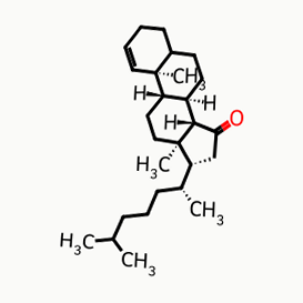 CC(C)CCC[C@@H](C)[C@H]1CC(=O)[C@H]2[C@@H]3CCC4CCC=C[C@]4(C)[C@H]3CC[C@]12C